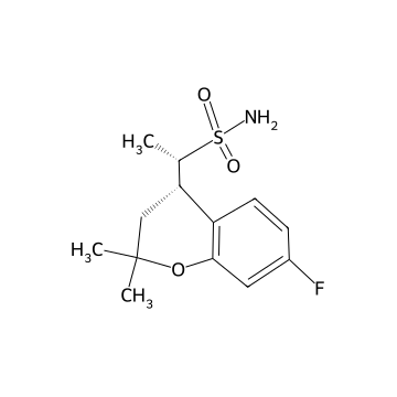 C[C@@H]([C@H]1CC(C)(C)Oc2cc(F)ccc21)S(N)(=O)=O